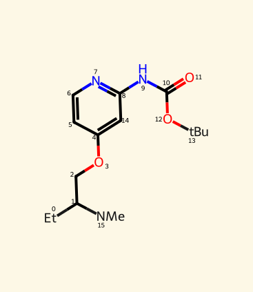 CCC(COc1ccnc(NC(=O)OC(C)(C)C)c1)NC